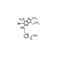 CCc1c(C)nn2c(N)c(C#N)c(NCCc3nc(C4(CO)CC4)cs3)nc12